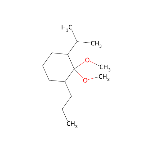 CCCC1CCCC(C(C)C)C1(OC)OC